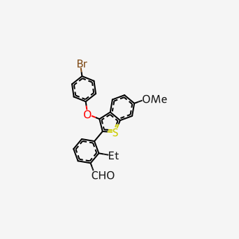 CCc1c(C=O)cccc1-c1sc2cc(OC)ccc2c1Oc1ccc(Br)cc1